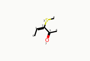 C/C=C(/SC)C(C)=O